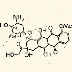 COc1cccc2c1C(=O)c1c(O)c3c(c(O)c1C2=O)CC(O)(C(=O)CO)C[C@@H]3O[C@H]1C[C@H](N)[C@H](O)[C@H](C)O1